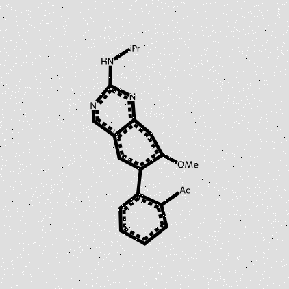 COc1cc2nc(NC(C)C)ncc2cc1-c1ccccc1C(C)=O